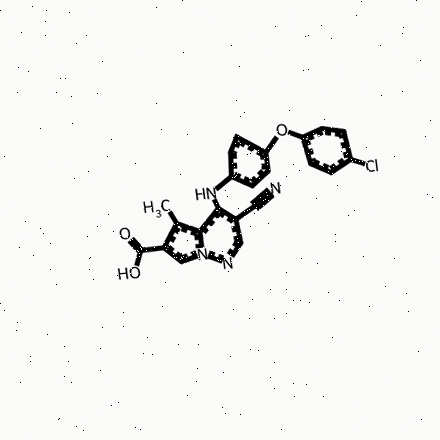 Cc1c(C(=O)O)cn2ncc(C#N)c(Nc3ccc(Oc4ccc(Cl)cc4)cc3)c12